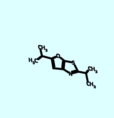 CC(C)c1cc2nc(C(C)C)sc2o1